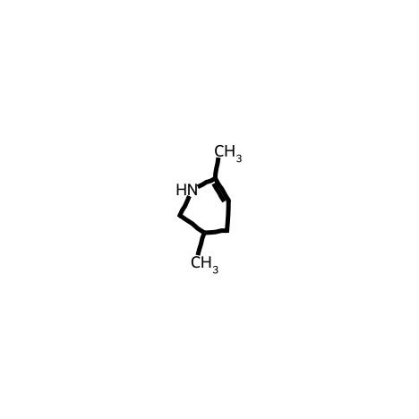 CC1=CCC(C)CN1